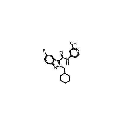 O=C(Nc1ccnc(O)c1)c1c2cc(F)ccc2nn1CC1CCCCC1